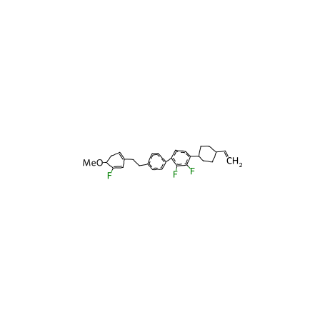 C=CC1CCC(c2ccc(-c3ccc(CCC4=CCC(OC)C(F)=C4)cc3)c(F)c2F)CC1